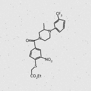 CCOC(=O)CSc1ccc(C(=O)N2CCN(c3cccc(C(F)(F)F)c3)C(C)C2)cc1[N+](=O)[O-]